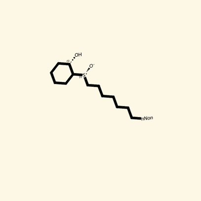 CCCCCCCCCCCCCCCC[S@@+]([O-])C1CCCC[C@@H]1O